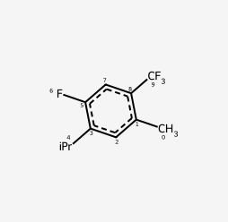 Cc1cc(C(C)C)c(F)cc1C(F)(F)F